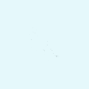 Cc1cn([C@@H]2CS[C@H](COC(C)(C)C)O2)c(=O)nc1N